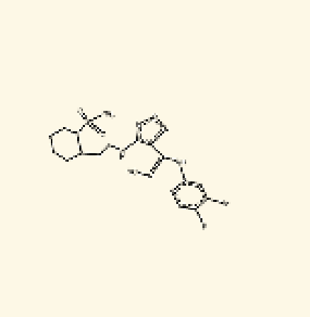 NS(=O)(=O)N1CCCCC1CCNc1nonc1C(=NO)Nc1ccc(F)c(Br)c1